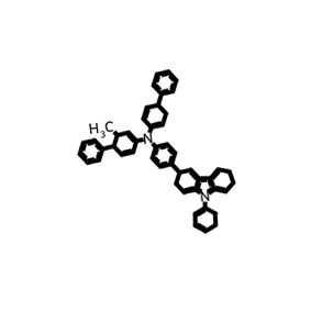 CC1C=C(N(C2=CCC(c3ccccc3)C=C2)c2ccc(C3C=c4c5c(n(C6=CC=CCC6)c4=CC3)=CCCC=5)cc2)C=CC1c1ccccc1